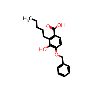 CCCCCc1c(C(=O)O)ccc(OCc2ccccc2)c1O